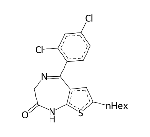 CCCCCCc1cc2c(s1)NC(=O)CN=C2c1ccc(Cl)cc1Cl